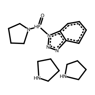 C1CCNC1.C1CCNC1.O=[PH](N1CCCC1)n1nnc2ccccc21